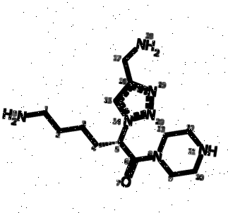 NCCCC[C@@H](C(=O)N1CCNCC1)n1cc(CN)nn1